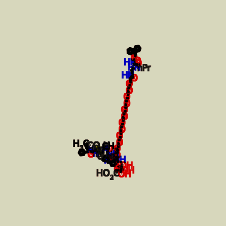 CCCNC(=O)[C@H](CCCCNC(=O)CCOCCOCCOCCOCCOCCOCCOCCOCCOCCOCCOCCOC(=O)Nc1cc(C[N+]2(C)CCCC[C@@H]2C(=O)N[C@H](C(=O)N(C)[C@H](C[C@@H](OC(C)=O)c2nc(C(=O)N[C@@H](Cc3ccccc3)C[C@H](C)C(=O)O)cs2)C(C)C)[C@@H](C)CC)ccc1O[C@@H]1O[C@H](C(=O)O)[C@@H](O)[C@H](O)[C@H]1O)NC(=O)OCC1c2ccccc2-c2ccccc21